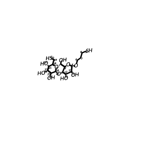 OCC1O[C@@H](OCCCS)C(O)[C@H](O)[C@@H]1O[C@@H]1OC(CS)[C@H](O)[C@H](O)C1O